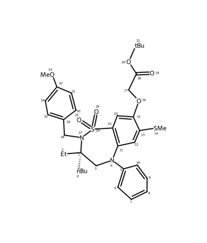 CCCC[C@@]1(CC)CN(c2ccccc2)c2cc(SC)c(OCC(=O)OC(C)(C)C)cc2S(=O)(=O)N1Cc1ccc(OC)cc1